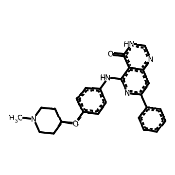 CN1CCC(Oc2ccc(Nc3nc(-c4ccccc4)cc4nc[nH]c(=O)c34)cc2)CC1